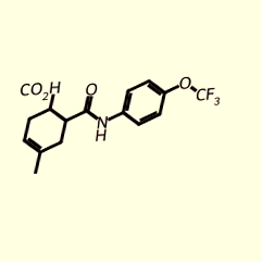 CC1=CCC(C(=O)O)C(C(=O)Nc2ccc(OC(F)(F)F)cc2)C1